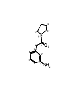 Nc1cccc(CC(=O)N2CCCC2)c1